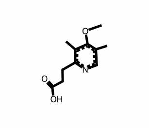 COc1c(C)cnc(CCC(=O)O)c1C